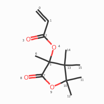 C=CC(=O)OC1(C)C(=O)OC(C)(C)C1(C)C